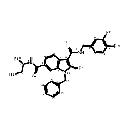 CCC(CO)NC(=O)c1ccc2c(C(=O)NCc3ccc(F)c(F)c3)c(C(C)C)n(Cc3ccccc3)c2c1